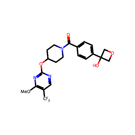 COc1nc(OC2CCN(C(=O)c3ccc(C4(O)COC4)cc3)CC2)ncc1C(F)(F)F